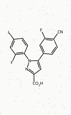 N#Cc1ccc(-c2cc(C(=O)O)nn2-c2ccc(I)cc2F)cc1F